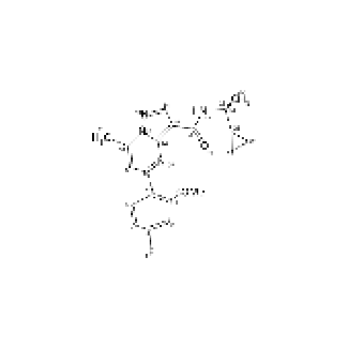 COc1cc(F)ccc1-c1cc(C)n2ncc(C(=O)N[C@@H](C)C3CC3)c2n1